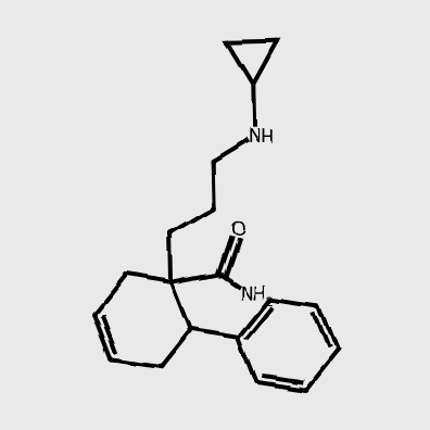 NC(=O)C1(CCCNC2CC2)CC=CCC1c1ccccc1